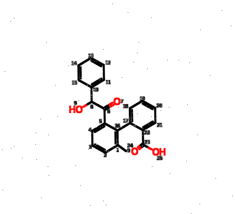 Cc1cccc(C(=O)C(O)c2ccccc2)c1-c1ccccc1C(=O)O